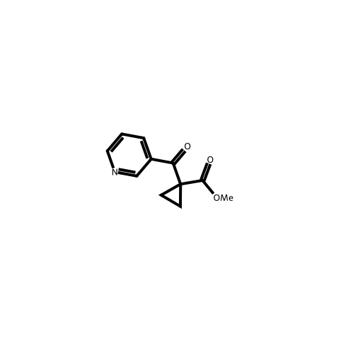 COC(=O)C1(C(=O)c2cccnc2)CC1